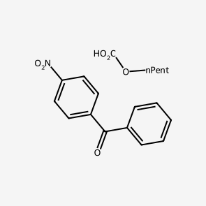 CCCCCOC(=O)O.O=C(c1ccccc1)c1ccc([N+](=O)[O-])cc1